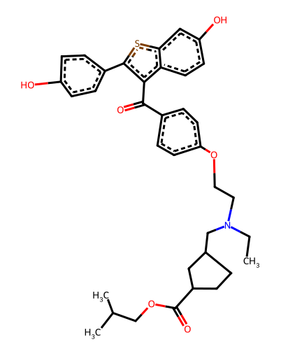 CCN(CCOc1ccc(C(=O)c2c(-c3ccc(O)cc3)sc3cc(O)ccc23)cc1)CC1CCC(C(=O)OCC(C)C)C1